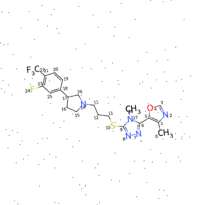 Cc1ncoc1-c1nnc(SCCCN2CCC(c3ccc(C(F)(F)F)c(F)c3)C2)n1C